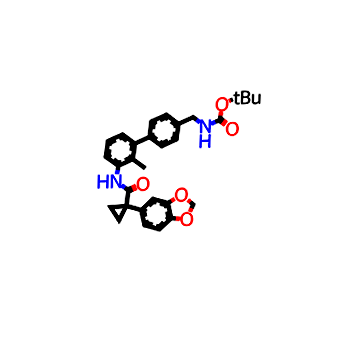 Cc1c(NC(=O)C2(c3ccc4c(c3)OCO4)CC2)cccc1-c1ccc(CNC(=O)OC(C)(C)C)cc1